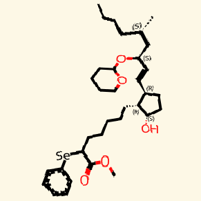 CCCC[C@H](C)C[C@@H](C=C[C@H]1CC[C@H](O)[C@@H]1CCCCCC([Se]c1ccccc1)C(=O)OC)OC1CCCCO1